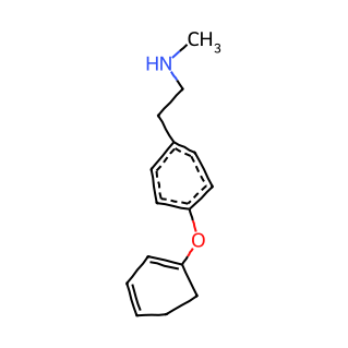 CNCCc1ccc(OC2=CC=CCC2)cc1